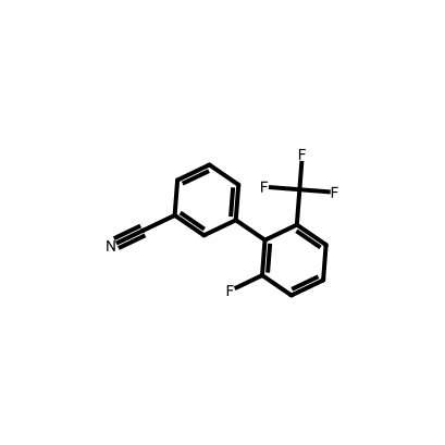 N#Cc1cccc(-c2c(F)cccc2C(F)(F)F)c1